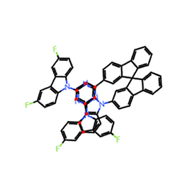 Fc1ccc2c(c1)c1cc(F)ccc1n2-c1nc(-c2ccc3c(c2)C2(c4ccccc4-3)c3ccccc3-c3ccc(-n4c5c(c6ccccc64)CCC=C5)cc32)nc(-n2c3ccc(F)cc3c3cc(F)ccc32)n1